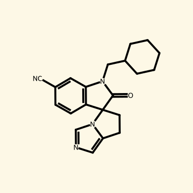 N#Cc1ccc2c(c1)N(CC1CCCCC1)C(=O)C21CCc2cncn21